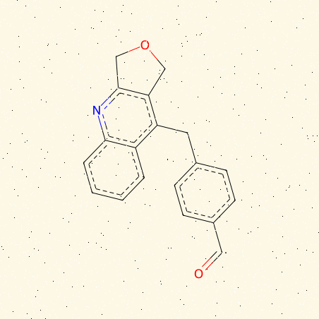 O=[C]c1ccc(Cc2c3c(nc4ccccc24)COC3)cc1